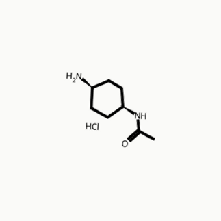 CC(=O)N[C@H]1CC[C@@H](N)CC1.Cl